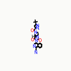 Cn1nc(C(C)(C)C)cc1C(=O)N1CC2CC1[C@H]1C(=O)N(c3cnc(C#N)c4ccccc34)C(=O)N21